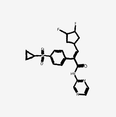 O=C(Nc1cnccn1)/C(=C/C1CC(F)C(F)C1)c1ccc(S(=O)(=O)C2CC2)cc1